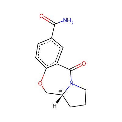 NC(=O)c1ccc2c(c1)C(=O)N1CCC[C@@H]1CO2